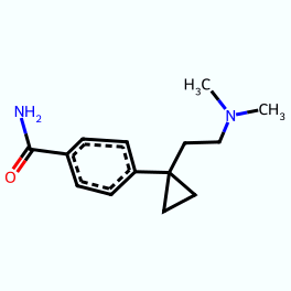 CN(C)CCC1(c2ccc(C(N)=O)cc2)CC1